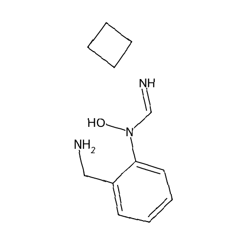 C1CCC1.N=CN(O)c1ccccc1CN